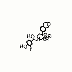 CS(=O)(=O)OC1(c2ccc3c(c2)COCC3)CCN(CC(O)c2ccc(O)c(F)c2)CC1